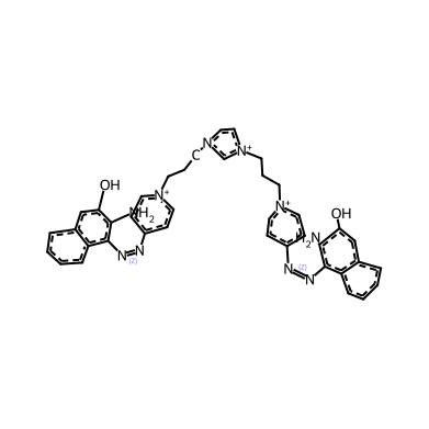 Nc1c(O)cc2ccccc2c1/N=N\c1cc[n+](CCCn2cc[n+](CCC[n+]3ccc(/N=N\c4c(N)c(O)cc5ccccc45)cc3)c2)cc1